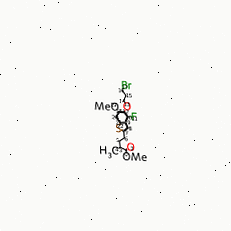 COC(=O)C(C)CCc1cc2c(F)c(OCCCBr)c(OC)cc2s1